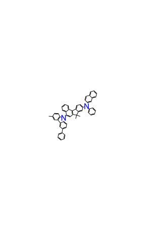 Cc1ccc2c(c1)c1cc(-c3ccccc3)ccc1n2-c1cc2c(c3ccccc13)-c1ccc(N(c3ccccc3)c3ccc4ccccc4c3)cc1C2(C)C